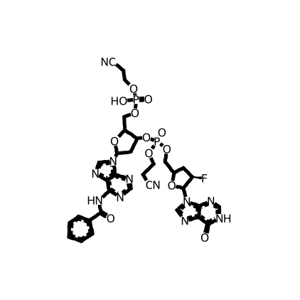 N#CCCOP(=O)(O)OCC1OC(n2cnc3c(NC(=O)c4ccccc4)ncnc32)CC1OP(=O)(OCCC#N)OCC1C[C@@H](F)C(n2cnc3c(=O)[nH]cnc32)O1